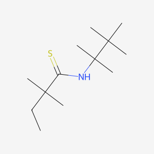 CCC(C)(C)C(=S)NC(C)(C)C(C)(C)C